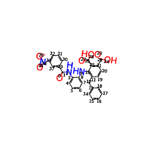 O=C(Nc1ccccc1Nc1c(Cc2ccccc2)ccc(C(=O)O)c1C(=O)O)c1cccc([N+](=O)[O-])c1